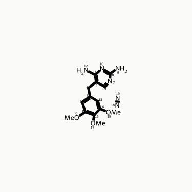 COc1cc(Cc2cnc(N)nc2N)cc(OC)c1OC.N#N